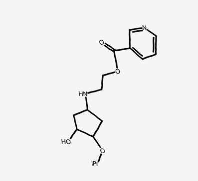 CC(C)OC1CC(NCCOC(=O)c2cccnc2)CC1O